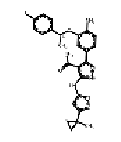 C[C@H](Oc1cc(-c2n[nH]c(Nc3cc(C4(C)CC4)on3)c2C(N)=O)ccc1N)c1ccc(F)cc1